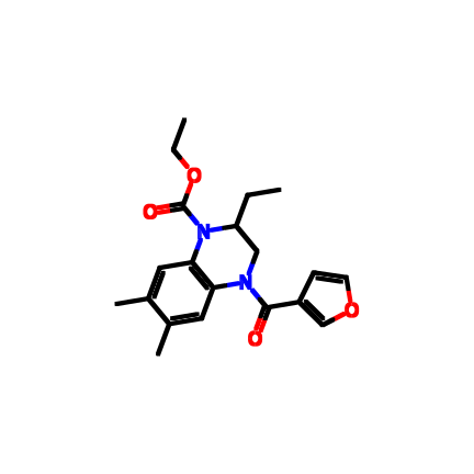 CCOC(=O)N1c2cc(C)c(C)cc2N(C(=O)c2ccoc2)CC1CC